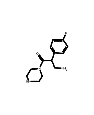 NCC(C(=O)N1CCNCC1)c1ccc(F)cc1